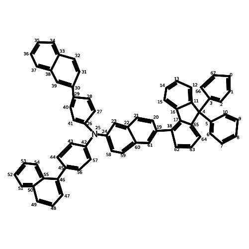 c1ccc(C2(c3ccccc3)c3ccccc3-c3c(-c4ccc5cc(N(c6ccc(-c7ccc8ccccc8c7)cc6)c6ccc(-c7cccc8ccccc78)cc6)ccc5c4)cccc32)cc1